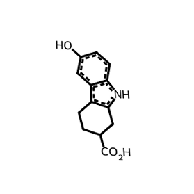 O=C(O)C1CCc2c([nH]c3ccc(O)cc23)C1